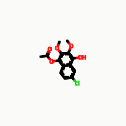 COc1c(OC)c(OC(C)=O)c2ccc(Cl)cc2c1O